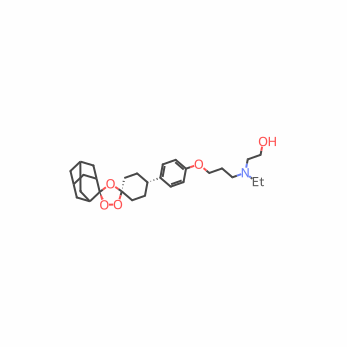 CCN(CCO)CCCOc1ccc([C@H]2CC[C@]3(CC2)OO[C@]2(O3)C3CC4CC(C3)CC2C4)cc1